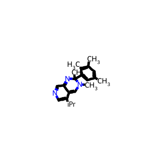 Cc1cc(C)c(C)c(C2(C)N=c3cncc(C(C)C)c3=CN2C)c1